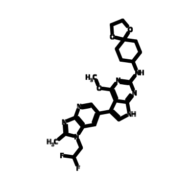 COc1nc(NC2CCC3(CC2)OCCO3)nc2[nH]cc(-c3cnc4nc(C)n(CC(F)F)c4c3)c12